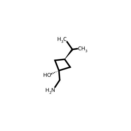 CC(C)[C@H]1C[C@@](O)(CN)C1